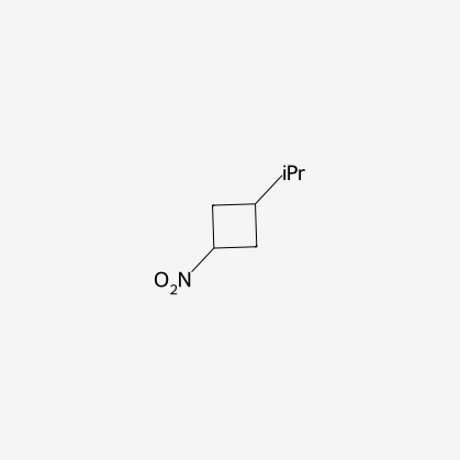 CC(C)C1CC([N+](=O)[O-])C1